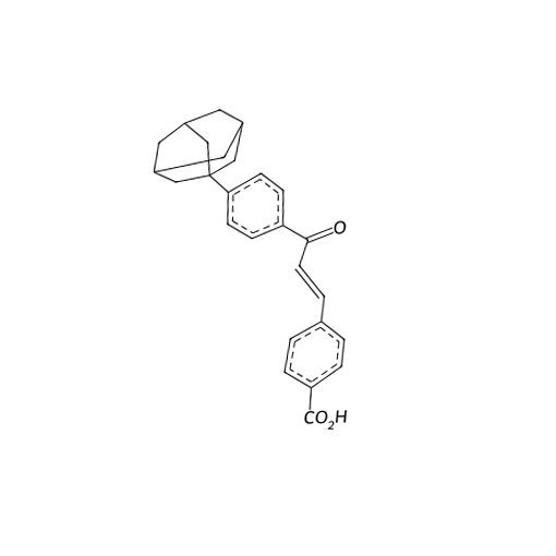 O=C(O)c1ccc(C=CC(=O)c2ccc(C34CC5CC(CC(C5)C3)C4)cc2)cc1